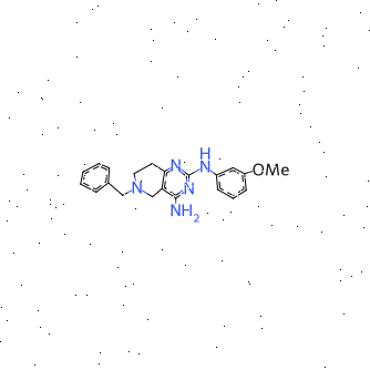 COc1cccc(Nc2nc(N)c3c(n2)CCN(Cc2ccccc2)C3)c1